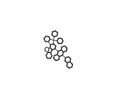 c1ccc(C2(c3ccccc3)c3ccccc3-c3c2cc(-c2c4ccccc4c(-c4ccc5ccccc5c4)c4ccccc24)c2c3oc3ccccc32)cc1